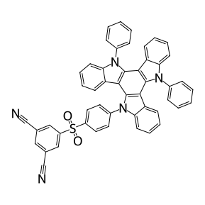 N#Cc1cc(C#N)cc(S(=O)(=O)c2ccc(-n3c4ccccc4c4c5c(c6ccccc6n5-c5ccccc5)c5c(c6ccccc6n5-c5ccccc5)c43)cc2)c1